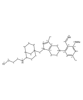 CCOCCNC1CCC2(Cn3nc(C)c4c3CCN(c3cc(C)nc(NC)c3C=N)C4)CCCC1C2